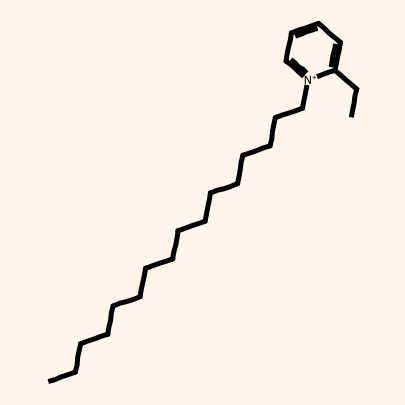 CCCCCCCCCCCCCCCC[n+]1ccccc1CC